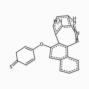 Nc1c2ccc3[nH]c(nc13)-c1c-2c(OC2=CCC(=S)C=C2)cc2ccccc12